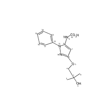 CC(C)(O)COc1cc(NC(=O)O)n(-c2ccccc2)n1